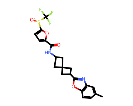 Cc1ccc2oc(C3CC4(CC(NC(=O)c5ccc([S+]([O-])C(F)(F)F)o5)C4)C3)nc2c1